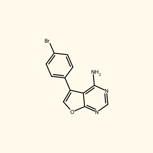 Nc1ncnc2occ(-c3ccc(Br)cc3)c12